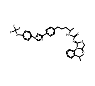 CC(CCCc1ccc(-c2ncn(-c3ccc(OC(F)(F)F)cc3)n2)cc1)NC(=O)/N=C1\SCC(=O)N1c1ccccc1C(C)C